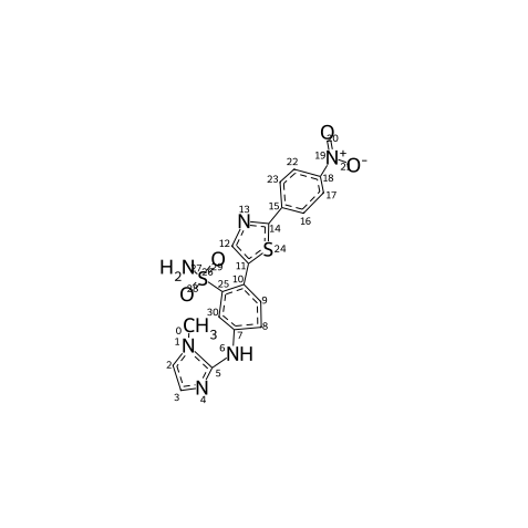 Cn1ccnc1Nc1ccc(-c2cnc(-c3ccc([N+](=O)[O-])cc3)s2)c(S(N)(=O)=O)c1